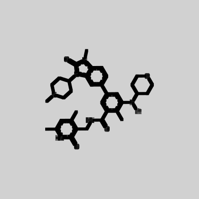 CCN(c1cc(-c2ccc3c(c2)n(C2CCN(C)CC2)c(=O)n3C)cc(C(=O)NCc2c(C)cc(C)[nH]c2=O)c1C)C1CCOCC1